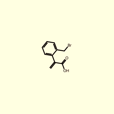 C=C(C(=O)O)c1ccccc1CBr